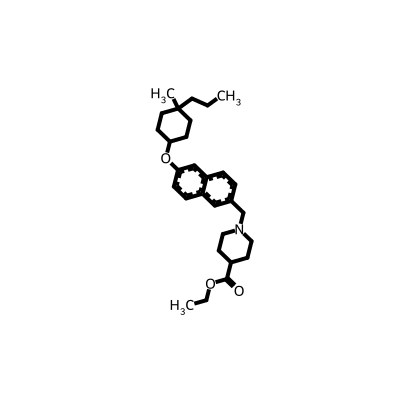 CCCC1(C)CCC(Oc2ccc3cc(CN4CCC(C(=O)OCC)CC4)ccc3c2)CC1